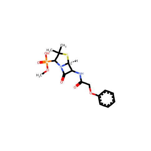 COP(=O)(O)C1N2C(=O)C(NC(=O)COc3ccccc3)[C@@H]2SC1(C)C